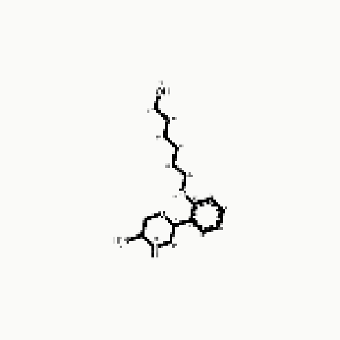 NC1COC(c2ccccc2OCCCCCCO)CN1